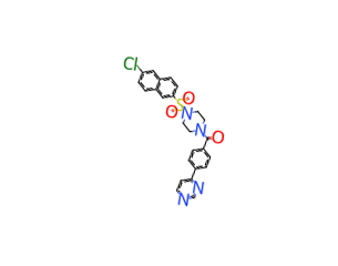 O=C(c1ccc(-c2ccncn2)cc1)N1CCN(S(=O)(=O)c2ccc3cc(Cl)ccc3c2)CC1